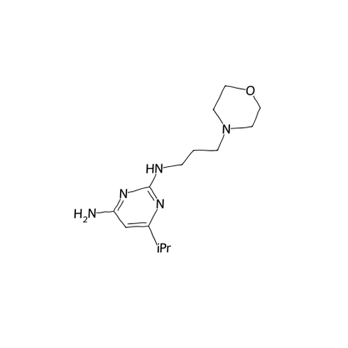 CC(C)c1cc(N)nc(NCCCN2CCOCC2)n1